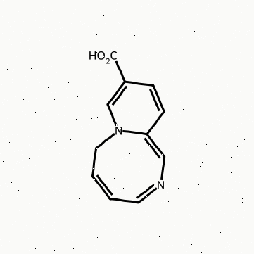 O=C(O)C1=CN2CC=CC=NC=C2C=C1